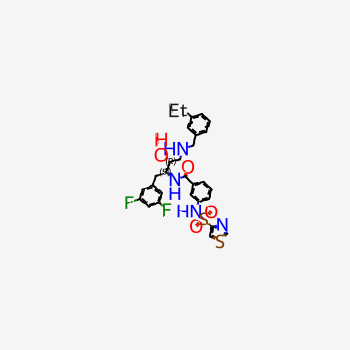 CCc1cccc(CNC[C@@H](O)[C@H](Cc2cc(F)cc(F)c2)NC(=O)c2cccc(NS(=O)(=O)c3cscn3)c2)c1